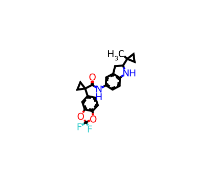 CC1(C2Cc3cc(NC(=O)C4(c5ccc6c(c5)OC(F)(F)O6)CC4)ccc3N2)CC1